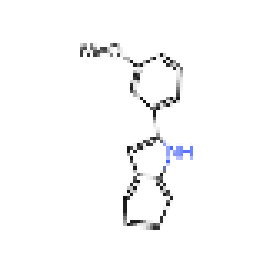 COc1cccc(-c2cc3ccccc3[nH]2)c1